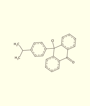 CC(C)c1ccc(C2(Cl)c3ccccc3C(=O)c3ccccc32)cc1